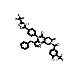 CC1Cc2c(n3ncc(Cc4ccccc4)c3n(-c3ccc(-c4nnc(C(F)(F)F)[nH]4)cc3)c2=O)CN1C(=O)c1ccc(Br)c(C(F)(F)F)c1